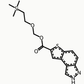 C[Si](C)(C)CCOCOC(=O)c1cc2c(ccc3n[nH]cc32)s1